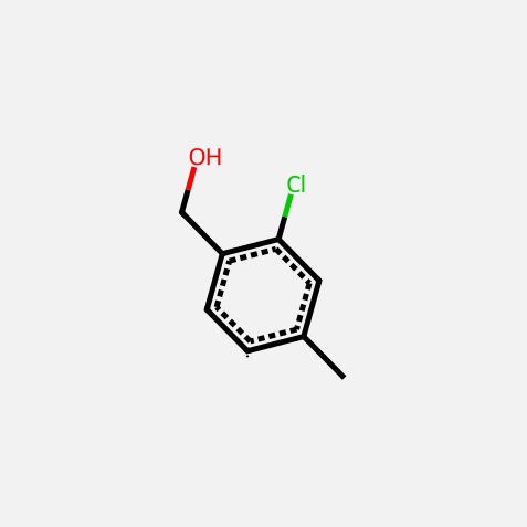 Cc1[c]cc(CO)c(Cl)c1